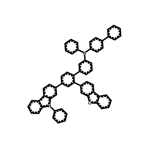 c1ccc(-c2ccc(N(c3ccccc3)c3cccc(-c4ccc(-c5ccc6c7ccccc7n(-c7ccccc7)c6c5)cc4-c4ccc5c(c4)oc4ccccc45)c3)cc2)cc1